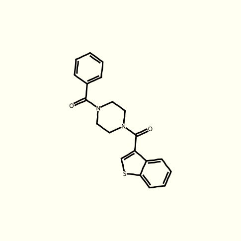 O=C(c1ccccc1)N1CCN(C(=O)c2csc3ccccc23)CC1